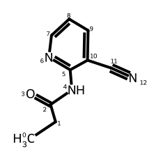 CCC(=O)Nc1ncccc1C#N